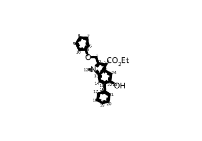 CCOC(=O)c1c(COc2ccccc2)n(C)c2cc(-c3ccccc3)c(O)cc12